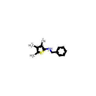 Cc1sc(NCc2ccccc2)c(C#N)c1C